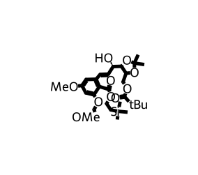 COCOc1cc(OC)cc(/C=C/[C@H](O)C2OC(C)(C)OC2COC(=O)C(C)(C)C)c1C(=O)OCC[Si](C)(C)C